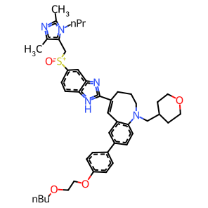 CCCCOCCOc1ccc(-c2ccc3c(c2)/C=C(/c2nc4cc([S@+]([O-])Cc5c(C)nc(C)n5CCC)ccc4[nH]2)CCCN3CC2CCOCC2)cc1